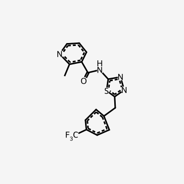 Cc1ncccc1C(=O)Nc1nnc(Cc2ccc(C(F)(F)F)cc2)s1